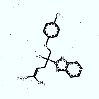 CC(=CCC(O)(COc1ccc(C)cc1)n1nc2ccccc2n1)C(=O)O